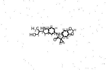 CC(CO)C1Cc2cc(NC(=O)C3(c4ccc5c(c4)OCO5)CC3)ccc2N1